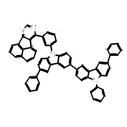 c1ccc(-c2ccc3c(c2)c2cc(-c4ccc5c(c4)c4cc(-c6ccccc6)ccc4n5-c4cccc(-c5ncnc6c5-c5cccc7cccc-6c57)c4)ccc2n3-c2ccccc2)cc1